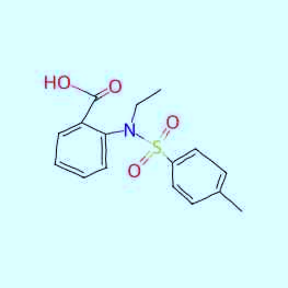 CCN(c1ccccc1C(=O)O)S(=O)(=O)c1ccc(C)cc1